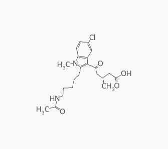 CC(=O)NCCCCCc1c(C(=O)C[C@H](C)CC(=O)O)c2cc(Cl)ccc2n1C